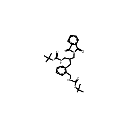 CC(C)(C)OC(=O)NCc1ccccc1CC(CNC(=O)OC(C)(C)C)CN1C(=O)c2ccccc2C1=O